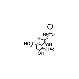 CC(=O)N[C@@H]1C(O)C=C(C(=O)O)OC1[C@@H](O)[C@@H](O)CNC(=O)C1CCCC1